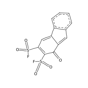 O=C1C2=Cc3ccccc3C2=CC(S(=O)(=O)F)=C1S(=O)(=O)F